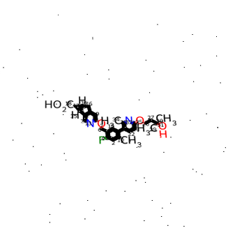 Cc1cc(F)c(COc2cc3c(cn2)[C@H]2[C@@H](C3)[C@@H]2C(=O)O)cc1-c1ccc(OCCC(C)(C)O)nc1C